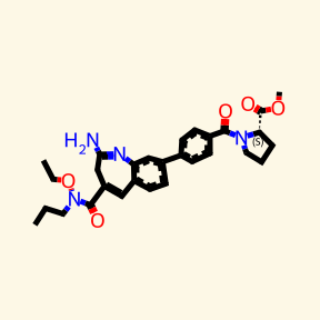 CCCN(OCC)C(=O)C1=Cc2ccc(-c3ccc(C(=O)N4CCC[C@H]4C(=O)OC)cc3)cc2N=C(N)C1